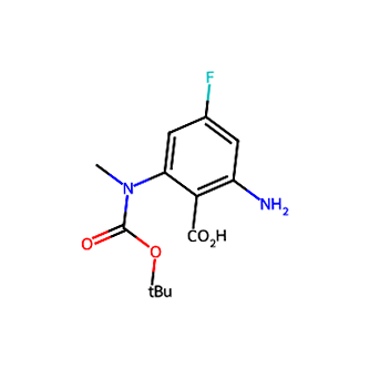 CN(C(=O)OC(C)(C)C)c1cc(F)cc(N)c1C(=O)O